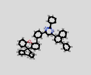 c1ccc(-c2nc(-c3cccc(-c4cccc5c4Oc4ccccc4C54c5ccccc5-c5ccccc54)c3)cc(-c3ccc(-c4ccccc4)c4ccccc34)n2)cc1